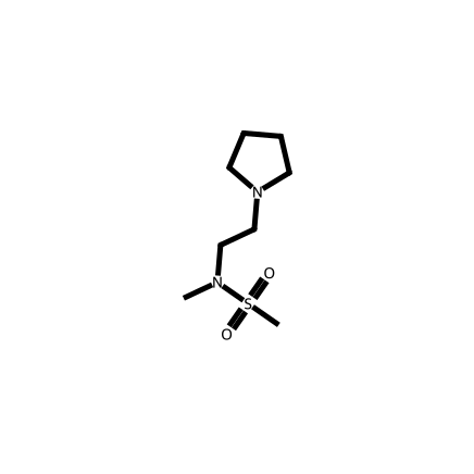 CN(CCN1CCCC1)S(C)(=O)=O